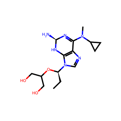 CC[C@@H](OC(CO)CO)n1cnc2c1N[C@@H](N)N=C2N(C)C1CC1